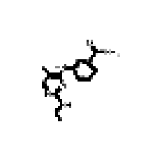 CCNc1ncc(C)c(Nc2cccc(C(N)=O)c2)n1